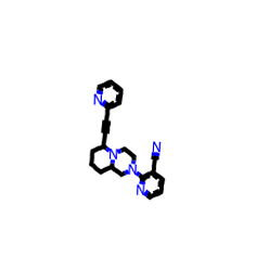 N#Cc1cccnc1N1CCN2C(C#Cc3ccccn3)CCCC2C1